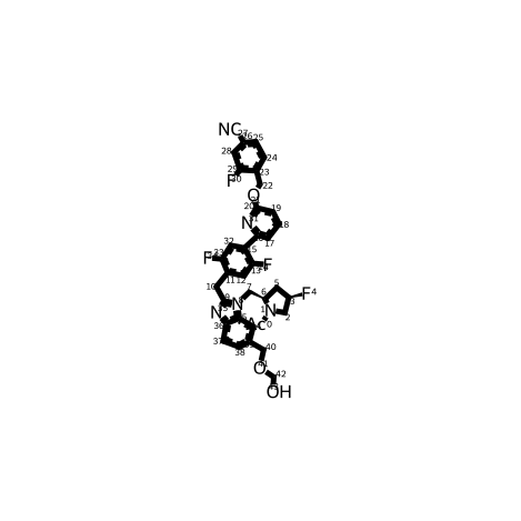 CC(=O)N1C[C@H](F)C[C@@H]1Cn1c(Cc2cc(F)c(-c3cccc(OCc4ccc(C#N)cc4F)n3)cc2F)nc2ccc(COCO)cc21